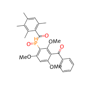 COc1cc(OC)c([PH](=O)C(=O)c2c(C)cc(C)c(C)c2C)c(OC)c1C(=O)c1ccccc1